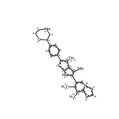 Cc1c(-c2[nH]c3sc(-c4ccc(C5CNCCO5)cc4)c(C)c3c2C(C)C)cn2ncnc2c1C